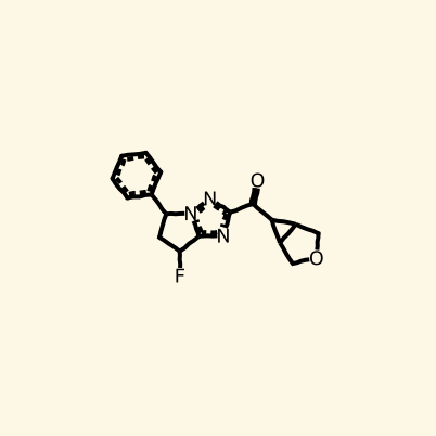 O=C(c1nc2n(n1)C(c1ccccc1)CC2F)C1C2COCC21